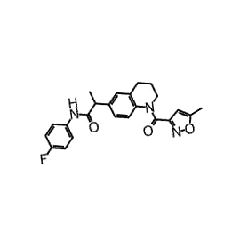 Cc1cc(C(=O)N2CCCc3cc(C(C)C(=O)Nc4ccc(F)cc4)ccc32)no1